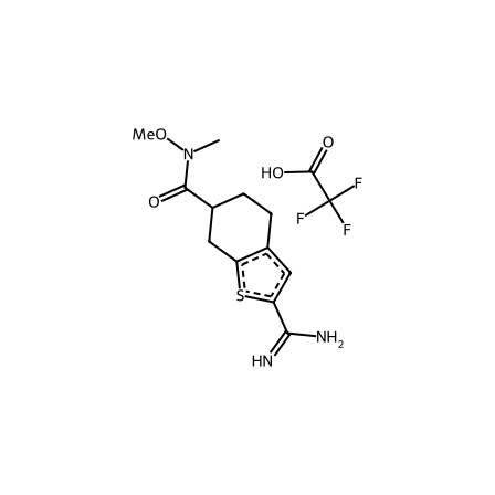 CON(C)C(=O)C1CCc2cc(C(=N)N)sc2C1.O=C(O)C(F)(F)F